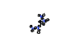 c1ccc(-n2c3ccccc3c3cc(N(c4ccc(-c5c6ccccc6c(N(c6ccc7ccccc7c6)c6ccc7c(c6)c6ccccc6n7-c6ccccc6)c6ccccc56)cc4)c4ccc5ccccc5c4)ccc32)cc1